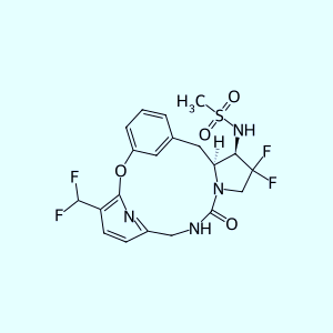 CS(=O)(=O)N[C@@H]1[C@@H]2Cc3cccc(c3)Oc3nc(ccc3C(F)F)CNC(=O)N2CC1(F)F